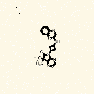 CC1(C)C(=O)N(C2CC(Nc3cnc4ccccc4n3)C2)c2nccnc21